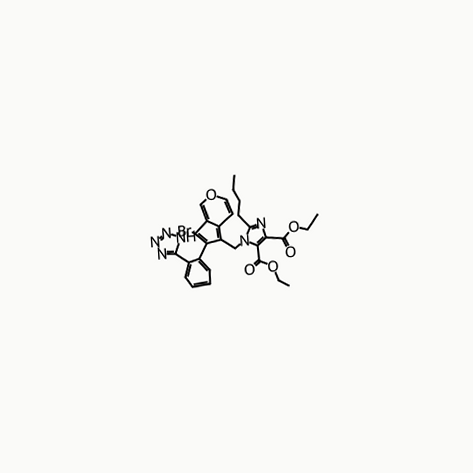 CCCCc1nc(C(=O)OCC)c(C(=O)OCC)n1Cc1c2ccocc-2c(Br)c1-c1ccccc1-c1nnn[nH]1